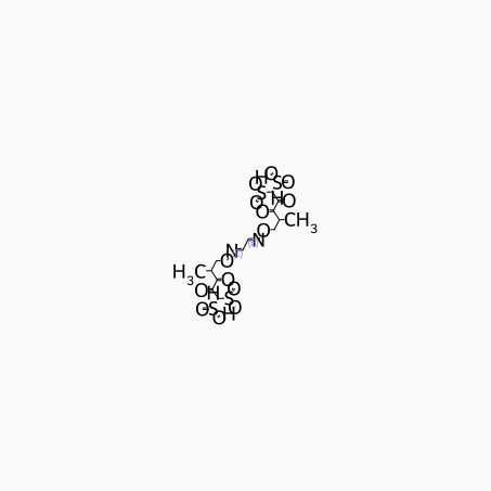 CC(CO/N=C/C=N/OCC(C)C(=O)C(=O)C([SH](=O)=O)[SH](=O)=O)C(=O)C(=O)C([SH](=O)=O)[SH](=O)=O